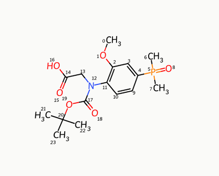 COc1cc(P(C)(C)=O)ccc1N(CC(=O)O)C(=O)OC(C)(C)C